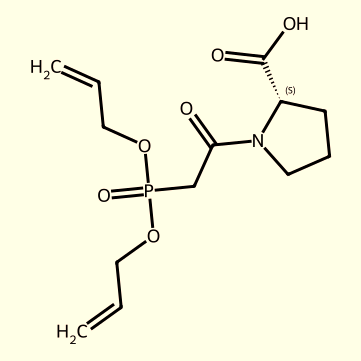 C=CCOP(=O)(CC(=O)N1CCC[C@H]1C(=O)O)OCC=C